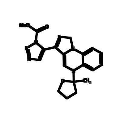 COC(=O)n1nncc1C1=NCN2C1=CN(C1(C)CCCO1)c1ccccc12